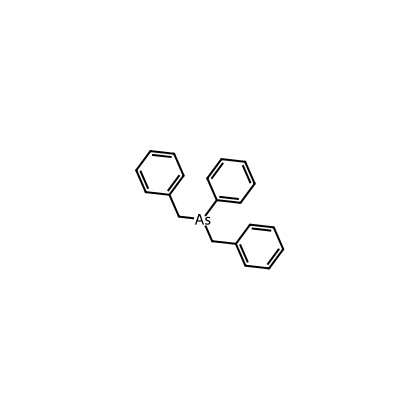 c1ccc(C[As](Cc2ccccc2)c2ccccc2)cc1